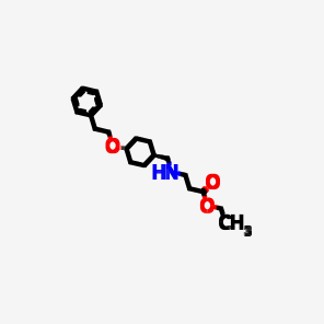 CCOC(=O)CCNC[C@H]1CC[C@H](OCCc2ccccc2)CC1